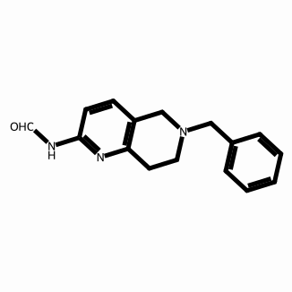 O=CNc1ccc2c(n1)CCN(Cc1ccccc1)C2